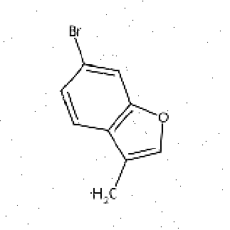 [CH2]c1coc2cc(Br)ccc12